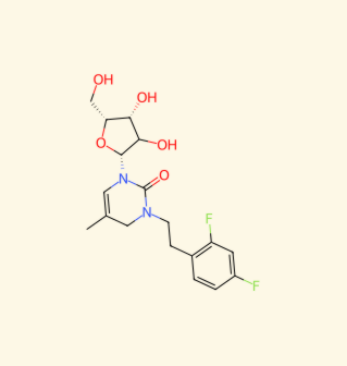 CC1=CN([C@@H]2O[C@H](CO)[C@H](O)C2O)C(=O)N(CCc2ccc(F)cc2F)C1